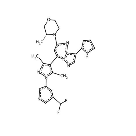 Cc1nn(-c2cncc(C(F)F)c2)c(C)c1-c1cc(N2CCOC[C@H]2C)nc2c(-c3ccc[nH]3)cnn12